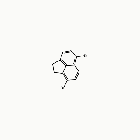 Brc1ccc2c(Br)ccc3c2c1CC3